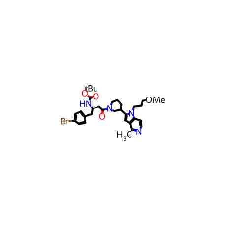 COCCCn1c(C2CCCN(C(=O)C[C@@H](Cc3ccc(Br)cc3)NC(=O)OC(C)(C)C)C2)cc2c(C)nccc21